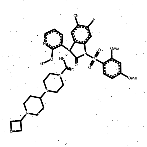 CCOc1ncccc1[C@]1(NC(=O)N2CCN(C3CCN(C4COC4)CC3)CC2)C(=O)N(S(=O)(=O)c2ccc(OC)cc2OC)c2cc(F)c(C#N)cc21